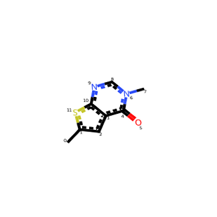 Cc1cc2c(=O)n(C)cnc2s1